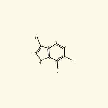 CCc1n[nH]c2c(F)c(F)ccc12